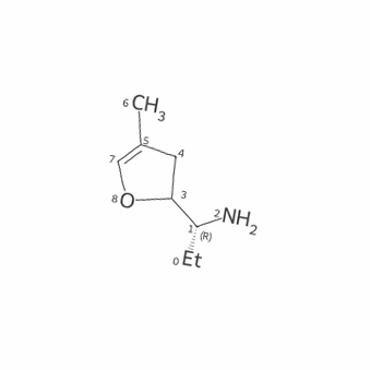 CC[C@@H](N)C1CC(C)=CO1